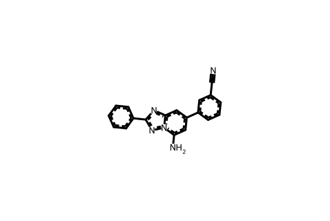 N#Cc1cccc(-c2cc(N)n3nc(-c4ccccc4)nc3c2)c1